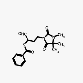 CN1C(=O)N(CC[C@H](C=O)SC(=O)c2ccccc2)C(=O)C1(C)C